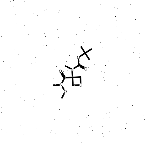 CON(C)C(=O)C1(N(C)C(=O)OC(C)(C)C)COC1